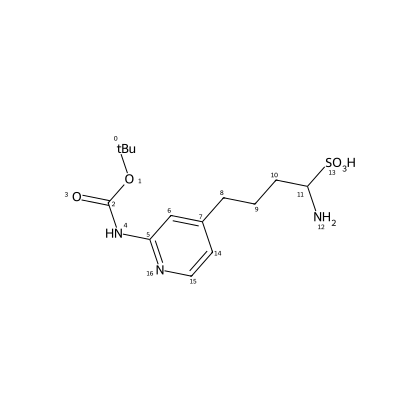 CC(C)(C)OC(=O)Nc1cc(CCCC(N)S(=O)(=O)O)ccn1